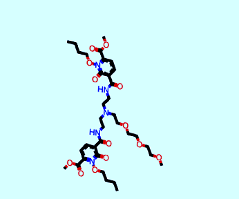 CCCCOn1c(C(=O)OC)ccc(C(=O)NCCN(CCNC(=O)c2ccc(C(=O)OC)n(OCCCC)c2=O)CCOCCOCCOC)c1=O